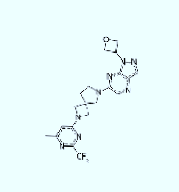 Cc1cc(N2CC3(CCN(c4cnc5cnn(C6COC6)c5n4)C3)C2)nc(C(F)(F)F)n1